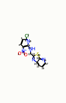 O=[N+]([O-])c1ccc(Cl)nc1NCc1nc2cccnc2s1